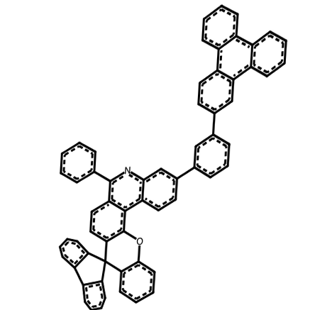 c1ccc(-c2nc3cc(-c4cccc(-c5ccc6c7ccccc7c7ccccc7c6c5)c4)ccc3c3c4c(ccc23)C2(c3ccccc3O4)c3ccccc3-c3ccccc32)cc1